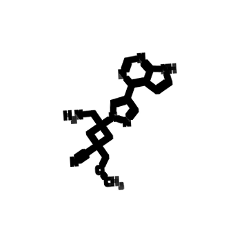 COCC1(C#N)CC(CN)(n2cc(-c3ncnc4[nH]ccc34)cn2)C1